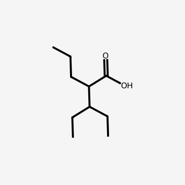 CCCC(C(=O)O)C(CC)CC